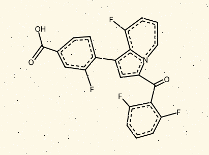 O=C(O)c1ccc(-c2cc(C(=O)c3c(F)cccc3F)n3cccc(F)c23)c(F)c1